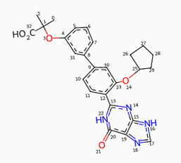 CC(C)(Oc1cccc(-c2ccc(-c3nc4[nH]cnc4c(=O)[nH]3)c(OC3CCCC3)c2)c1)C(=O)O